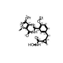 CCCc1nn(C)c2c(=O)[nH]c(-c3cc(CC4CC4C(=O)NO)ccc3OCC)nc12